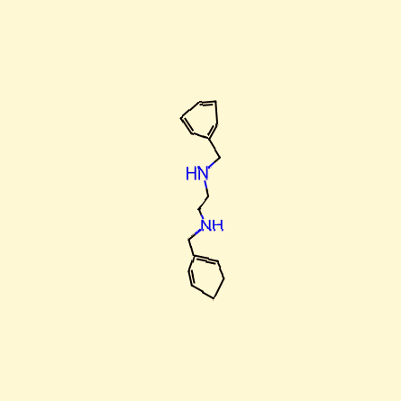 C1=CC(CNCCNCc2ccccc2)=CCC1